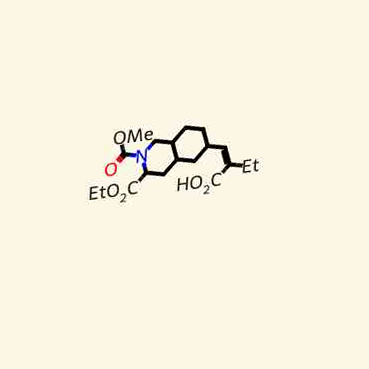 CCOC(=O)C1CC2CC(C=C(CC)C(=O)O)CCC2CN1C(=O)OC